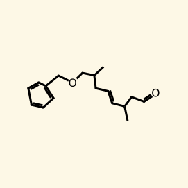 CC(C=CCC(C)COCc1ccccc1)CC=O